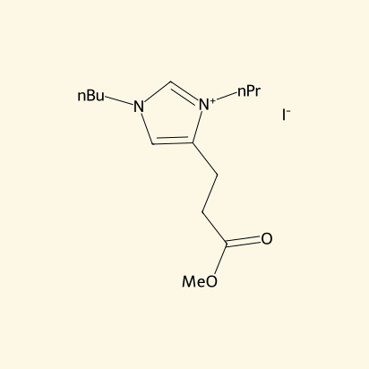 CCCCn1cc(CCC(=O)OC)[n+](CCC)c1.[I-]